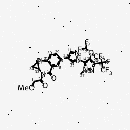 COCC(=O)N(C(=O)c1cc(-c2cnn(-c3c(OC(F)F)c(C(F)(C(F)(F)F)C(F)(F)F)nn3C)c2)ccc1Cl)C1CC1